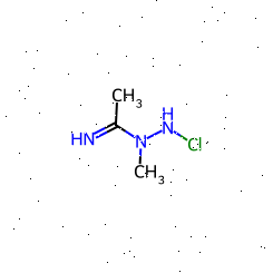 CC(=N)N(C)NCl